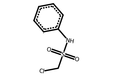 O=S(=O)(CCl)Nc1[c]cccc1